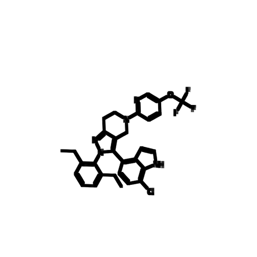 CCc1cccc(CC)c1-n1nc2c(c1-c1ccc(Cl)c3[nH]ccc13)CN(c1ccc(OC(F)(F)F)cn1)CC2